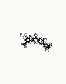 O=C(c1nc2c(C(F)(F)F)cc(C3CC3)cn2c1Br)N1CCN(C2C[C@H]3C[C@@H]3C2)C(=O)C1